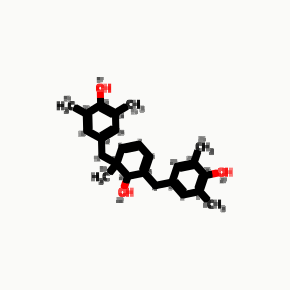 Cc1cc(CC2=CC=CC(C)(Cc3cc(C)c(O)c(C)c3)C2O)cc(C)c1O